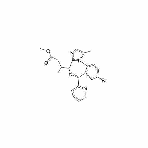 COC(=O)CC(C)C1N=C(c2ccccn2)c2cc(Br)ccc2-n2c(C)cnc21